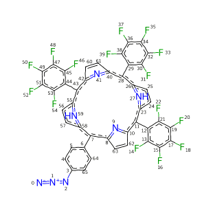 [N-]=[N+]=Nc1ccc(-c2c3nc(c(-c4c(F)c(F)c(F)c(F)c4F)c4ccc([nH]4)c(-c4c(F)c(F)c(F)c(F)c4F)c4nc(c(-c5c(F)c(F)c(F)c(F)c5F)c5ccc2[nH]5)C=C4)C=C3)cc1